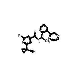 CC(NC(=O)c1cc(Br)nc(C2(C#N)CC2)c1)c1nccnc1-c1cnccn1